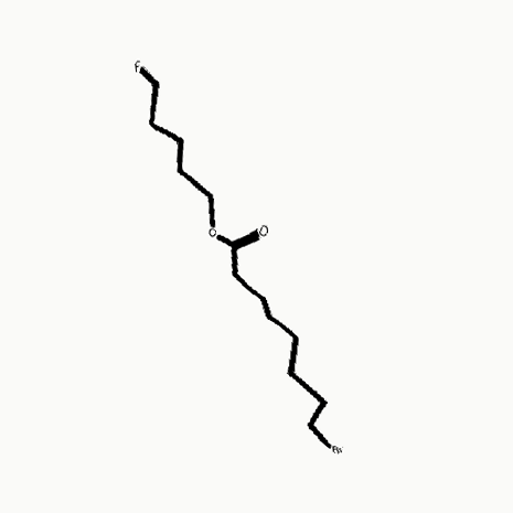 O=C(CCCCCCCBr)OCCCCCF